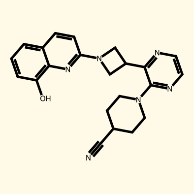 N#CC1CCN(c2nccnc2C2CN(c3ccc4cccc(O)c4n3)C2)CC1